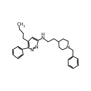 CCCCc1cc(NCCC2CCN(Cc3ccccc3)CC2)nnc1-c1ccccc1